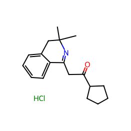 CC1(C)Cc2ccccc2C(CC(=O)C2CCCC2)=N1.Cl